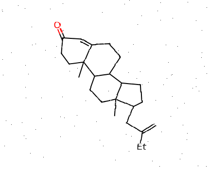 C=C(CC)CC1CCC2C3CCC4=CC(=O)CCC4(C)C3CCC12C